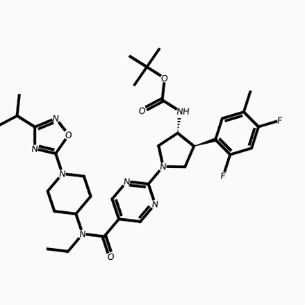 CCN(C(=O)c1cnc(N2C[C@H](NC(=O)OC(C)(C)C)[C@@H](c3cc(C)c(F)cc3F)C2)nc1)C1CCN(c2nc(C(C)C)no2)CC1